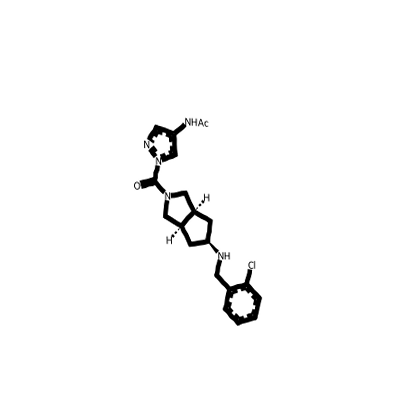 CC(=O)Nc1cnn(C(=O)N2C[C@H]3C[C@@H](NCc4ccccc4Cl)C[C@H]3C2)c1